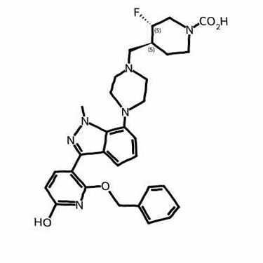 Cn1nc(-c2ccc(O)nc2OCc2ccccc2)c2cccc(N3CCN(C[C@@H]4CCN(C(=O)O)C[C@H]4F)CC3)c21